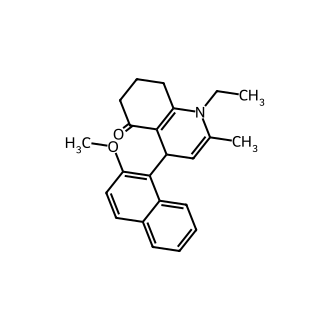 CCN1C(C)=CC(c2c(OC)ccc3ccccc23)C2=C1CCCC2=O